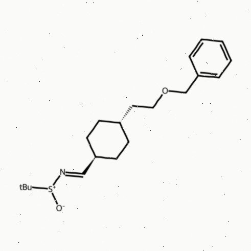 CC(C)(C)[S+]([O-])/N=C/[C@H]1CC[C@H](CCOCc2ccccc2)CC1